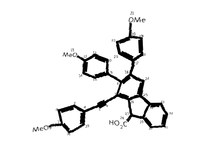 COc1ccc(C#Cc2c(-c3ccc(OC)cc3)c(-c3ccc(OC)cc3)cc3c2C(C(=O)O)c2ccccc2-3)cc1